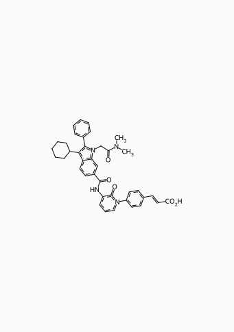 CN(C)C(=O)Cn1c(-c2ccccc2)c(C2CCCCC2)c2ccc(C(=O)Nc3cccn(-c4ccc(C=CC(=O)O)cc4)c3=O)cc21